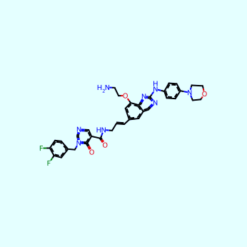 NCCOc1cc(/C=C/CNC(=O)c2cncn(Cc3ccc(F)c(F)c3)c2=O)cc2cnc(Nc3ccc(N4CCOCC4)cc3)nc12